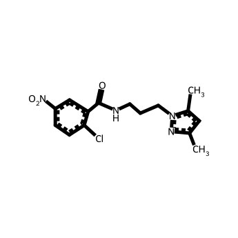 Cc1cc(C)n(CCCNC(=O)c2cc([N+](=O)[O-])ccc2Cl)n1